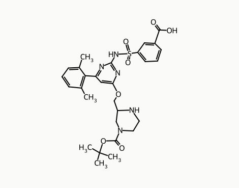 Cc1cccc(C)c1-c1cc(OCC2CN(C(=O)OC(C)(C)C)CCN2)nc(NS(=O)(=O)c2cccc(C(=O)O)c2)n1